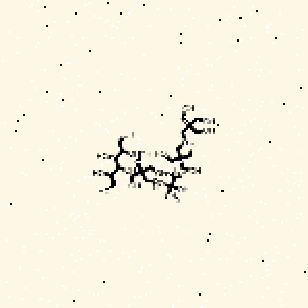 CC(O)C(C)(O)O.OCC(CO)(CO)CO.OCC(CO)(CO)COCC(CO)(CO)CO.OCC(O)C(O)C(O)C(O)CO